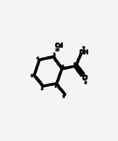 CC1CCCCC1C(=O)O.[Cd]